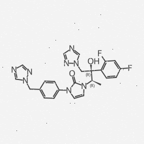 C[C@@H](n1ccn(-c2ccc(Cn3cncn3)cc2)c1=O)[C@](O)(Cn1cncn1)c1ccc(F)cc1F